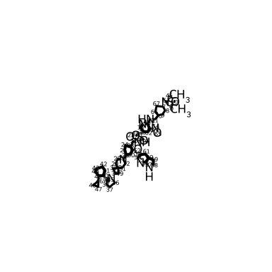 CCS(=O)(CC)=NC1CCC(CNc2ncc(S(=O)(=O)NC(=O)c3ccc(N4CCC5(CC4)CC(N4CCC[C@@H]4c4ccccc4C4CC4)C5)cc3Oc3cnc4[nH]ccc4c3)cc2N=O)CC1